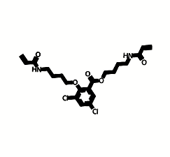 C=CC(=O)NCCCCOC(=O)c1cc(Cl)cc(Cl)c1OCCCCNC(=O)C=C